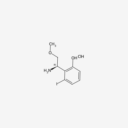 COC[C@H](N)c1c(O)cccc1I.Cl